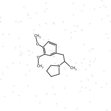 COc1ccc(CC(C)N2CCCC2)cc1OC